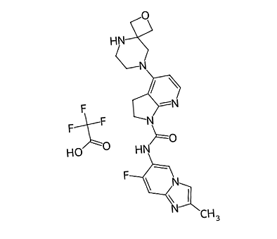 Cc1cn2cc(NC(=O)N3CCc4c(N5CCNC6(COC6)C5)ccnc43)c(F)cc2n1.O=C(O)C(F)(F)F